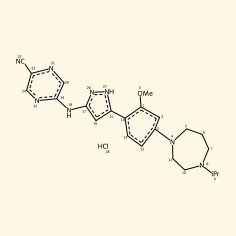 COc1cc(N2CCCN(C(C)C)CC2)ccc1-c1cc(Nc2cnc(C#N)cn2)n[nH]1.Cl